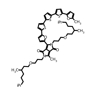 CC1=C2C(=O)N(CCCOCCC(C)CCCC(C)C)C(c3ccc(-c4ccc(-c5ccc(-c6ccc(-c7ccc(C)o7)s6)s5)s4)o3)=C2C(=O)N1CCCOCCC(C)CCCC(C)C